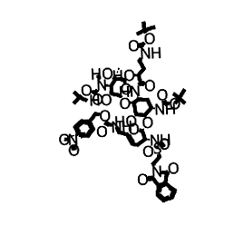 CN(C(=O)OC(C)(C)C)[C@@H]1[C@@H](O)[C@@H](O[C@@H]2[C@@H](O)[C@H](O[C@H]3OC(CNC(=O)OCc4ccc([N+](=O)[O-])cc4)=CC[C@H]3NS(=O)(=O)CCN3C(=O)c4ccccc4C3=O)[C@@H](NC(=O)OC(C)(C)C)C[C@H]2NC(=O)[C@@H](O)CCNC(=O)OC(C)(C)C)OC[C@]1(C)O